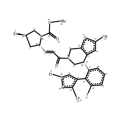 CC[C@@H]1C[C@@H](/C=C/C(=O)N2Cc3sc(C#N)cc3[C@H](c3cccc(F)c3-c3cn(CC)nc3C(F)(F)F)C2)N(C(=O)OC(C)(C)C)C1